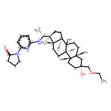 CCOC[C@@]1(O)CC[C@H]2[C@H](CC[C@@H]3[C@@H]2CC[C@]2(C)[C@@H]([C@@H](C)Nc4cccc(N5CCCC5=O)n4)CC[C@@H]32)C1